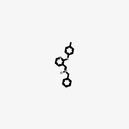 Cc1ccc(Sc2ncccc2C=[N+]([O-])Cc2ccccc2)cc1